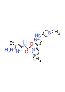 CCc1cc(NC(=O)C(=O)N2C[C@@H](C)CC[C@@H]2c2ccc(NC3CCN(C)CC3)nc2)cnc1N